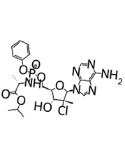 CC(C)OC(=O)[C@H](C)N[P@@](=O)(OC[C@H]1O[C@@H](n2cnc3c(N)ncnc32)[C@](C)(Cl)[C@@H]1O)Oc1ccccc1